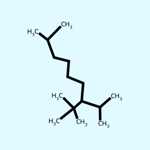 C[C](C)C(CCCCC(C)C)C(C)(C)C